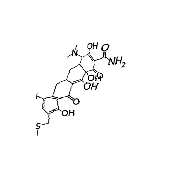 CSCc1cc(I)c2c(c1O)C(=O)C1=C(O)C3(O)C(=O)C(C(N)=O)=C(O)C(N(C)C)C3CC1C2